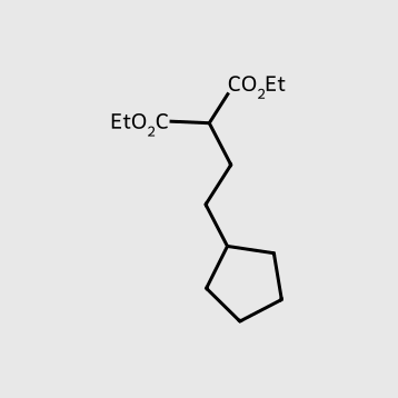 CCOC(=O)C(CCC1CCCC1)C(=O)OCC